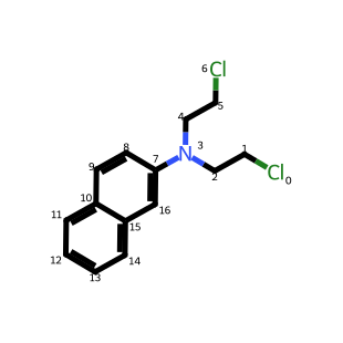 ClCCN(CCCl)c1ccc2ccccc2c1